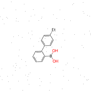 CCc1ccc(-c2ccccc2B(O)O)cc1